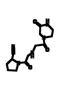 N#CC1CCCN1C(=O)CNCC(=O)N1CCNC(=O)C1